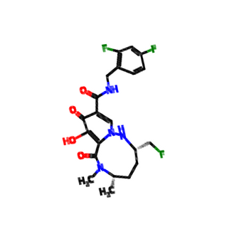 C[C@H]1CC[C@@H](CF)Nn2cc(C(=O)NCc3ccc(F)cc3F)c(=O)c(O)c2C(=O)N1C